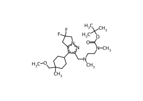 COCC1(C)CCC(c2c(CN(C)CCN(C)C(=O)OC(C)(C)C)nn3c2CC(F)(F)C3)CC1